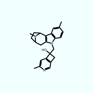 Cc1ccc2c(c1)c1c(n2CC2(O)Cc3cnc(C)cc32)CC2CCC1N2C